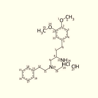 COc1ccc(CCC2CN(CCc3ccccc3)CCN2)cc1OC.Cl.Cl